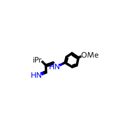 COc1ccc(N/C=C(\C=N)C(C)C)cc1